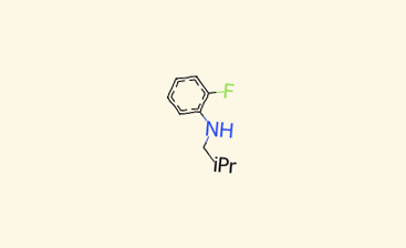 CC(C)CNc1ccccc1F